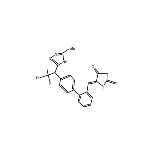 CCCCc1nnc(C(c2ccc(-c3ccccc3/C=C3\NC(=O)CC3=O)cc2)C(F)(F)CC)[nH]1